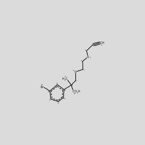 C#CCOCCOCC(C)(C(=O)O)c1cccc(Br)c1